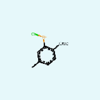 COc1ccc(C)cc1PCl